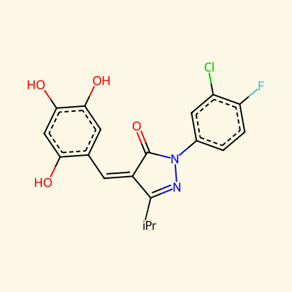 CC(C)C1=NN(c2ccc(F)c(Cl)c2)C(=O)C1=Cc1cc(O)c(O)cc1O